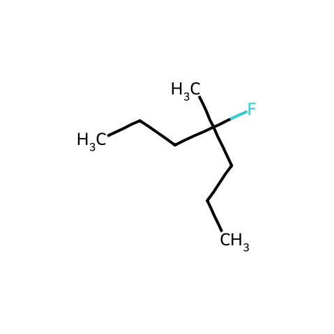 CCCC(C)(F)CCC